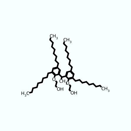 CCCCCCCCCc1cc(CCCCCCCCC)c(OCCO)c(C(C)c2cc(CCCCCCCCC)cc(CCCCCCCCC)c2OCCO)c1